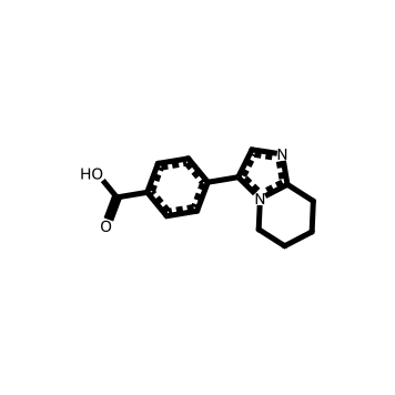 O=C(O)c1ccc(-c2cnc3n2CCCC3)cc1